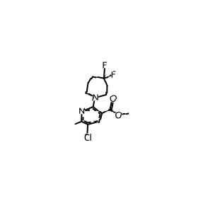 COC(=O)c1cc(Cl)c(C)nc1N1CCCC(F)(F)CC1